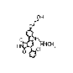 CNCCCn1c2cc(OCCCO)ccc2c2c3c(c(-c4ccccc4Cl)cc21)C(=O)NC3=O